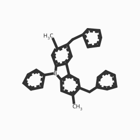 Cc1cc2c(cc1Cc1ccccc1)-c1cc(Cc3ccccc3)c(C)cc1B2c1ccccc1